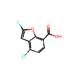 O=C(O)c1ccc(Cl)c2cc(F)oc12